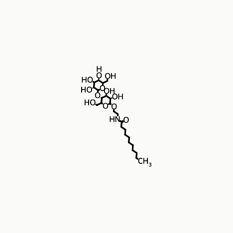 CCCCCCCCCCC(=O)NCCOC1OC(CO)[C@H](OC2OC(CO)[C@H](O)C(O)[C@H]2O)C(O)[C@H]1O